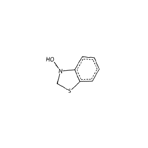 ON1CSc2ccccc21